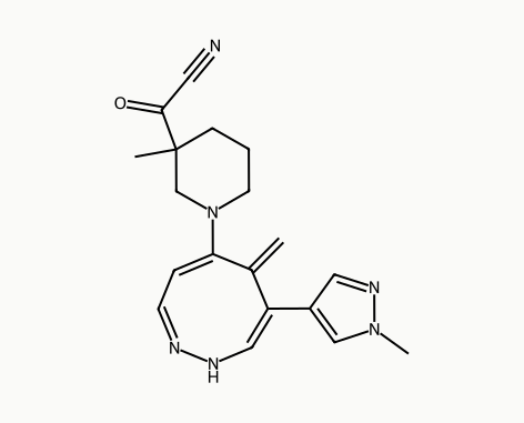 C=C1/C(c2cnn(C)c2)=C\N/N=C\C=C/1N1CCCC(C)(C(=O)C#N)C1